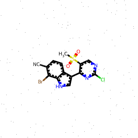 CS(=O)(=O)c1cnc(Cl)nc1-c1c[nH]c2c(Br)c(C#N)ccc12